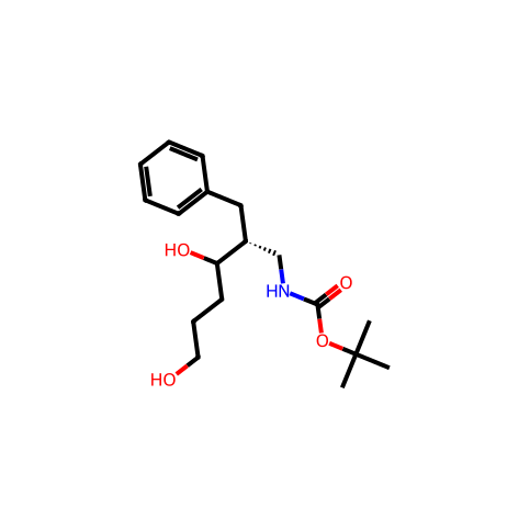 CC(C)(C)OC(=O)NC[C@@H](Cc1ccccc1)C(O)CCCO